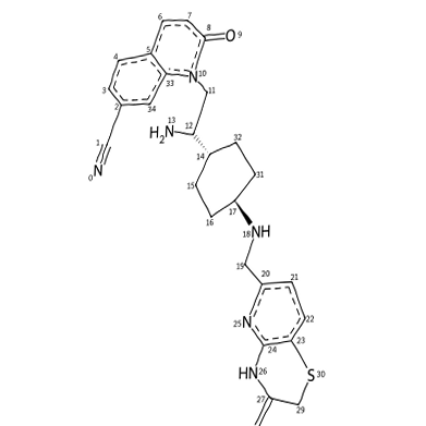 N#Cc1ccc2ccc(=O)n(CC(N)[C@H]3CC[C@H](NCc4ccc5c(n4)NC(=O)CS5)CC3)c2c1